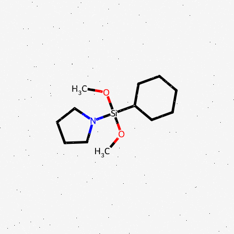 CO[Si](OC)(C1CCCCC1)N1CCCC1